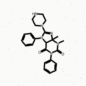 CN1C(=O)N(c2ccccc2)C(=O)C2N(c3ccccc3)C(N3CCNCC3)=NC21C